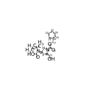 CC(C)(C)N(C(=O)O)[C@@H]1C[C@H](CO)N(C(=O)OCc2ccccc2)C1